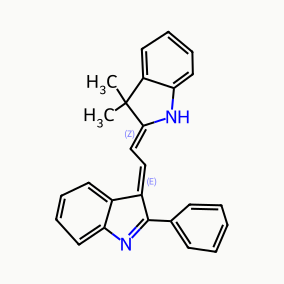 CC1(C)/C(=C/C=C2/C(c3ccccc3)=Nc3ccccc32)Nc2ccccc21